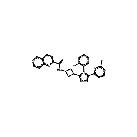 Cc1cccc(-c2nnc(C3CC(NC(=O)c4ccc5cnccc5n4)C3)n2-c2ccccc2F)n1